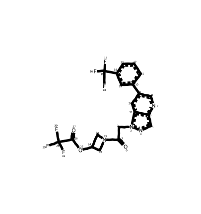 O=C(Cn1ncc2ncc(-c3cccc(C(F)(F)F)c3)cc21)N1CC(OC(=O)C(F)(F)F)C1